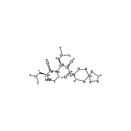 CC(C)C[C@@H]1NCCN([C@@H](CC(C)C)C(=O)C(=O)N2CCC3(CCCC3)CC2)C1=O